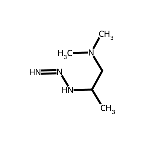 CC(CN(C)C)NN=N